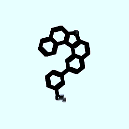 Cc1cccc(-c2ccc3ccc4oc5ccc6ccccc6c5c4c3c2)c1